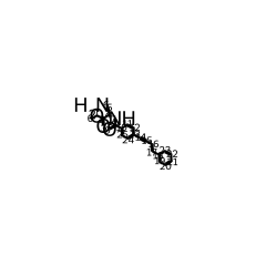 COC(=O)C(CN)NC(=O)c1ccc(C#CC=Cc2ccccc2)cc1